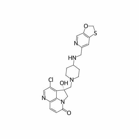 O=c1ccc2ncc(Cl)c3c2n1C[C@]3(O)CN1CCC(NCc2cc3c(cn2)OCS3)CC1